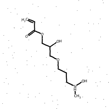 C=CC(=O)OCC(O)COCCC[SiH](C)O